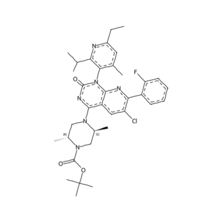 CCc1cc(C)c(-n2c(=O)nc(N3C[C@@H](C)N(C(=O)OC(C)(C)C)C[C@@H]3C)c3cc(Cl)c(-c4ccccc4F)nc32)c(C(C)C)n1